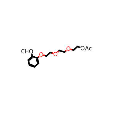 CC(=O)OCCOCCOCCOc1ccccc1C=O